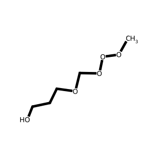 COOOCOCCCO